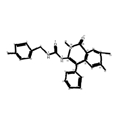 Cc1ccc(CNC(=O)Nc2c(-c3ccccc3)c3cc(C)c(C)cc3c(=O)n2C)cc1